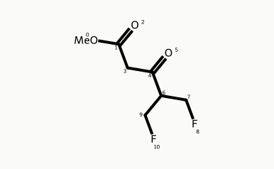 COC(=O)CC(=O)C(CF)CF